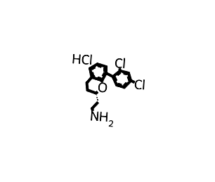 Cl.NCC[C@@H]1CCc2cccc(-c3ccc(Cl)cc3Cl)c2O1